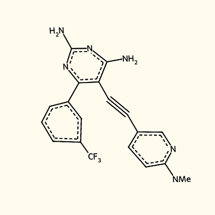 CNc1ccc(C#Cc2c(N)nc(N)nc2-c2cccc(C(F)(F)F)c2)cn1